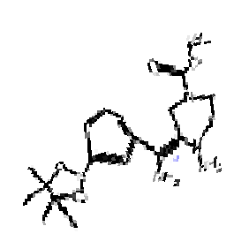 CC(C)(C)OC(=O)N1CCN(N)/C(=C(\N)c2cccc(B3OC(C)(C)C(C)(C)O3)c2)C1